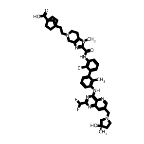 Cc1c(Nc2nc(C(F)F)nc3cc(CN4CC[C@](C)(O)C4)cnc23)cccc1-c1cccc(NC(=O)c2nc3c(n2C)CCN(CCC24CCC(C(=O)O)(CC2)C4)C3)c1Cl